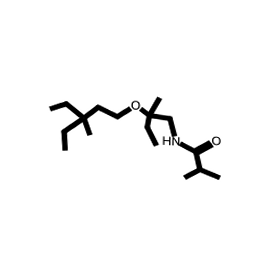 CCC(C)(CC)CCOC(C)(CC)CNC(=O)C(C)C